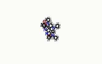 N#Cc1cnc2c(c1)C1(c3cc(N(c4ccccc4)c4ccccc4)ccc3N(c3ccccc3)c3ccc(N4c5ccccc5Oc5ccccc54)cc31)c1cc(C#N)cnc1-2